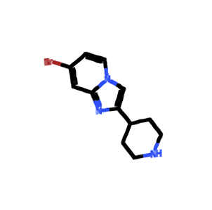 Brc1ccn2cc(C3CCNCC3)nc2c1